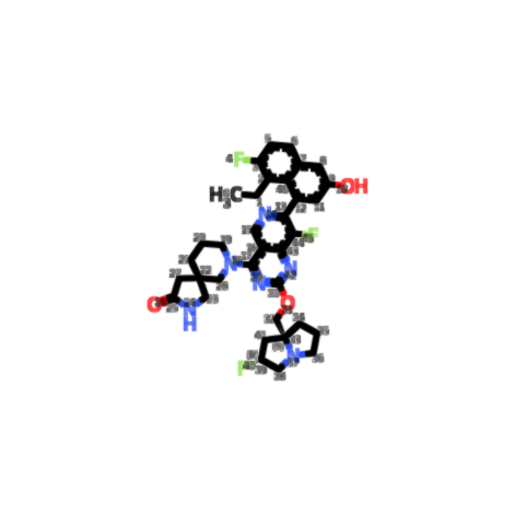 CCc1c(F)ccc2cc(O)cc(-c3ncc4c(N5CCCC6(CNC(=O)C6)C5)nc(OC[C@@]56CCCN5C[C@H](F)C6)nc4c3F)c12